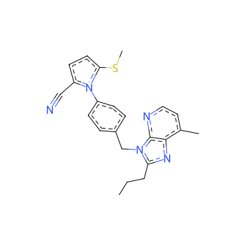 CCCc1nc2c(C)ccnc2n1Cc1ccc(-n2c(C#N)ccc2SC)cc1